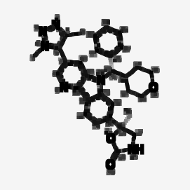 Cc1nnn(C)c1-c1cnc2c3ccc([C@@]4(C)CNC(=O)O4)cc3n([C@H](c3ccccc3)C3CCOCC3)c2c1